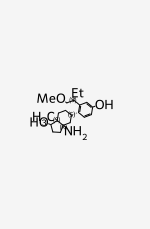 CC[C@H](COC)c1cc(O)ccc1[C@H]1CC[C@]2(C)C(O)CC[C@@]2(N)C1